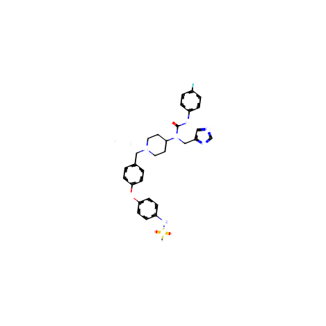 CS(=O)(=O)Nc1ccc(Oc2ccc(CN3CCC(N(Cc4c[nH]cn4)C(=O)Nc4ccc(F)cc4)CC3)cc2)cc1.Cl.Cl